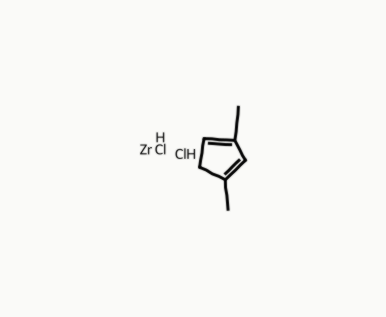 CC1=CCC(C)=C1.Cl.Cl.[Zr]